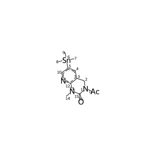 CC(=O)N1Cc2c[c]([Sn]([CH3])([CH3])[CH3])cnc2N(C)C1=O